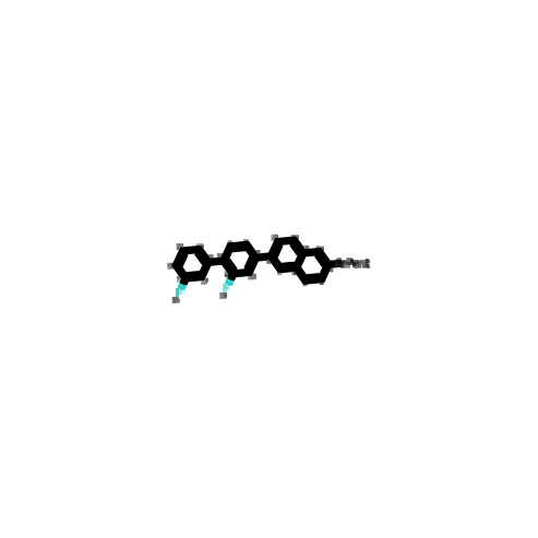 CCCCCc1ccc2cc(-c3ccc(-c4cccc(F)c4)c(F)c3)ccc2c1